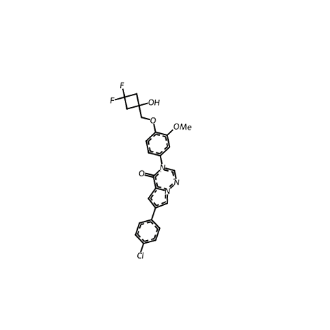 COc1cc(-n2cnn3cc(-c4ccc(Cl)cc4)cc3c2=O)ccc1OCC1(O)CC(F)(F)C1